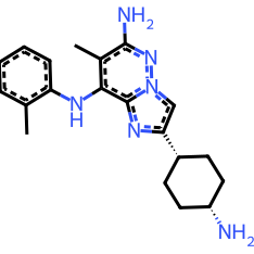 Cc1ccccc1Nc1c(C)c(N)nn2cc([C@H]3CC[C@@H](N)CC3)nc12